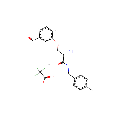 Cc1ccc(CNC(=O)[C@@H](N)COc2cccc(C=O)c2)cc1.O=C(O)C(F)(F)F